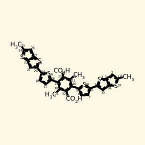 Cc1cc2sc(-c3ccc(-c4c(C)c(C(=O)O)c(-c5ccc(-c6cc7sc(C)cc7s6)s5)c(C)c4C(=O)O)s3)cc2s1